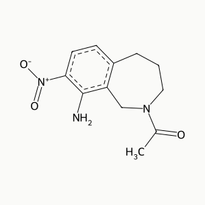 CC(=O)N1CCCc2ccc([N+](=O)[O-])c(N)c2C1